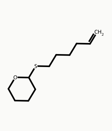 C=CCCCCSC1CCCCO1